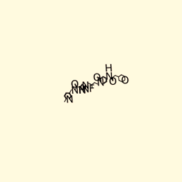 Cc1ccc(CNC(=O)c2cn(CC(F)CCn3ccc(NC(=O)CC4CCOCC4)cc3=O)nn2)cn1